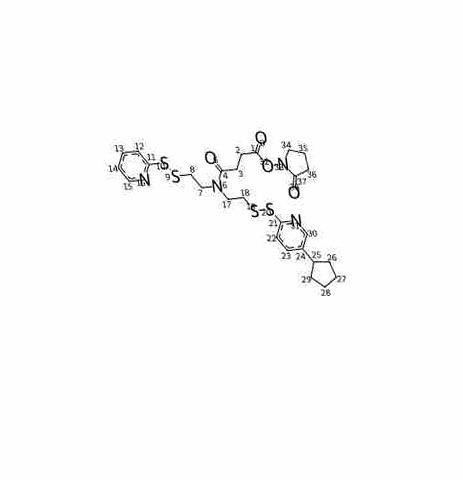 O=C(CCC(=O)N(CCSSc1ccccn1)CCSSc1ccc(C2CCCC2)cn1)ON1CCCC1=O